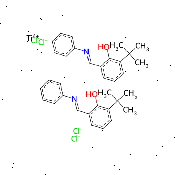 CC(C)(C)c1cccc(C=Nc2ccccc2)c1O.CC(C)(C)c1cccc(C=Nc2ccccc2)c1O.[Cl-].[Cl-].[Cl-].[Cl-].[Ti+4]